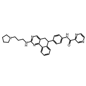 O=C(Nc1ccc(C2Cc3cnc(NCCCN4CCCC4)nc3-c3ccccc32)cc1)c1cnccn1